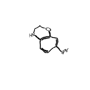 CC(C)c1ccc2c(c1)OCCN2